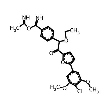 CCOC(C(=O)c1ccc(-c2cc(OC)c(Cl)c(OC)c2)o1)c1ccc(C(=N)OC(C)=N)cc1